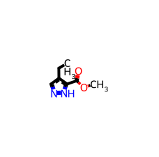 CCc1cn[nH]c1C(=O)OC